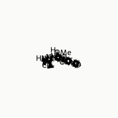 COc1cc(S(=O)(=O)N2CCC(N3CCOCC3)CC2)ccc1Nc1cc(C2CC2)c2c(C#N)c[nH]c2n1